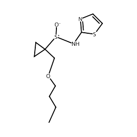 CCCCOCC1([S+]([O-])Nc2nccs2)CC1